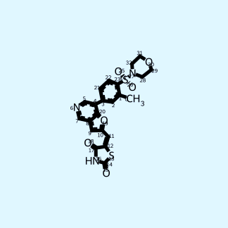 Cc1cc(-c2cncc3cc(C=C4SC(=O)NC4=O)oc23)ccc1S(=O)(=O)N1CCOCC1